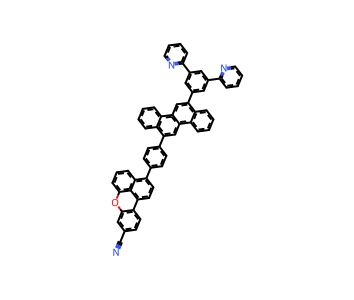 N#Cc1ccc2c(c1)Oc1cccc3c(-c4ccc(-c5cc6c7ccccc7c(-c7cc(-c8ccccn8)cc(-c8ccccn8)c7)cc6c6ccccc56)cc4)ccc-2c13